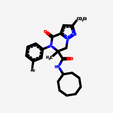 CCOC(=O)c1cc2n(n1)CC(C)(C(=O)NC1CCCCCCC1)N(c1cccc(C(C)=O)c1)C2=O